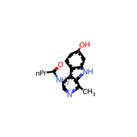 CCCC(N)=O.Cc1nccc2c1[nH]c1cc(O)ccc12